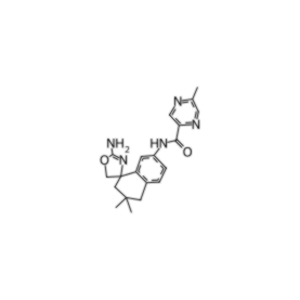 Cc1cnc(C(=O)Nc2ccc3c(c2)C2(COC(N)=N2)CC(C)(C)C3)cn1